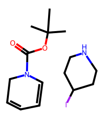 CC(C)(C)OC(=O)N1C=CC=CC1.IC1CCNCC1